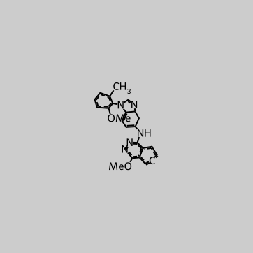 COc1cccc(C)c1N1C=NC2CC(Nc3nnc(OC)c4ccccc34)=CC=C21